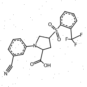 N#Cc1cccc(N2CC(S(=O)(=O)c3ccccc3C(F)(F)F)CC2C(=O)O)c1